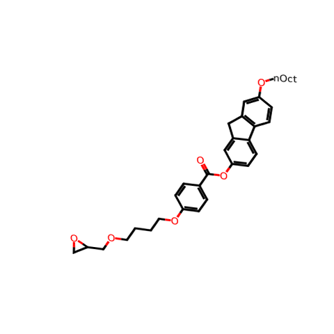 CCCCCCCCOc1ccc2c(c1)Cc1cc(OC(=O)c3ccc(OCCCCOCC4CO4)cc3)ccc1-2